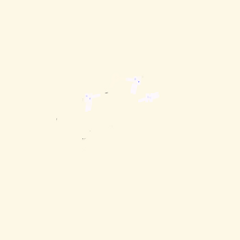 C=Nc1noc2nc(C)c(C)cc12